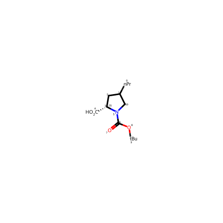 CCCC1C[C@@H](C(=O)O)N(C(=O)OC(C)(C)C)C1